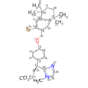 CCOC(=O)C[C@@H](c1ccc(OCc2cc3c(cc2Br)C(C)(C)CCC3(C)C)cc1)c1nccn1C